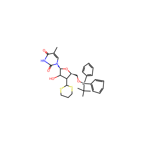 Cc1cn([C@H]2O[C@@H](CO[Si](c3ccccc3)(c3ccccc3)C(C)(C)C)C(C3SCCCS3)C2O)c(=O)[nH]c1=O